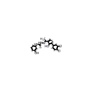 C/C(=N\NC(=S)Nc1cccc(O)c1)c1csc(-c2ccc(Cl)c(Cl)c2)c1O